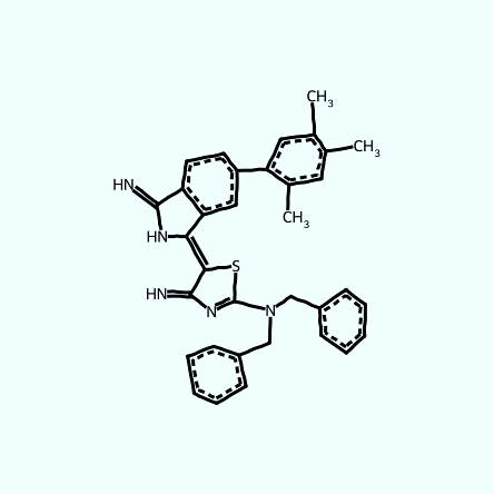 Cc1cc(C)c(-c2ccc3c(c2)C(=C2SC(N(Cc4ccccc4)Cc4ccccc4)=NC2=N)NC3=N)cc1C